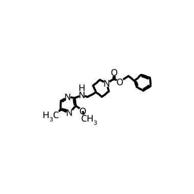 COc1nc(C)cnc1NCC1CCN(C(=O)OCc2ccccc2)CC1